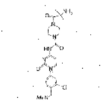 CNCc1ccc(-n2ccc(NC(=O)N3CCN(C(=O)C(C)(C)N)CC3)nc2=O)cc1Cl